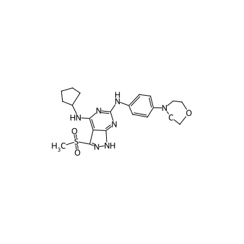 CS(=O)(=O)c1n[nH]c2nc(Nc3ccc(N4CCOCC4)cc3)nc(NC3CCCC3)c12